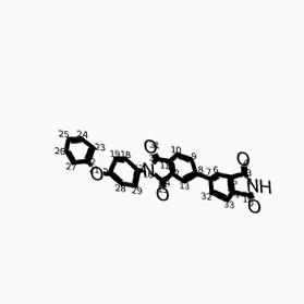 O=C1NC(=O)c2cc(-c3ccc4c(c3)C(=O)N(c3ccc(Oc5ccccc5)cc3)C4=O)ccc21